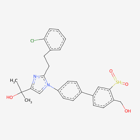 CC(C)(O)c1cn(-c2ccc(-c3ccc(CO)c([SH](=O)=O)c3)cc2)c(CCc2ccccc2Cl)n1